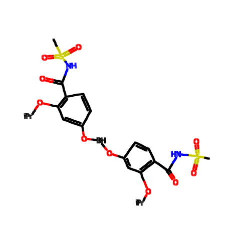 CC(C)Oc1cc(OBOc2ccc(C(=O)NS(C)(=O)=O)c(OC(C)C)c2)ccc1C(=O)NS(C)(=O)=O